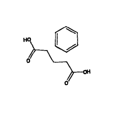 O=C(O)CCCC(=O)O.c1ccccc1